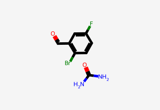 NC(N)=O.O=Cc1cc(F)ccc1Br